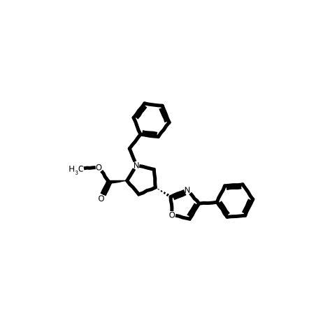 COC(=O)[C@@H]1C[C@@H](c2nc(-c3ccccc3)co2)CN1Cc1ccccc1